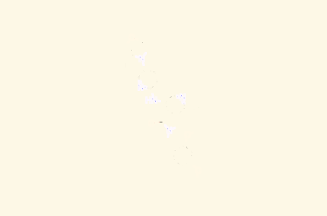 COc1ccc(CN2Cc3c(Cl)ncc(Nc4ccc(N5CC6C[C@@H]5CO6)cn4)c3C2=O)c(OC)c1